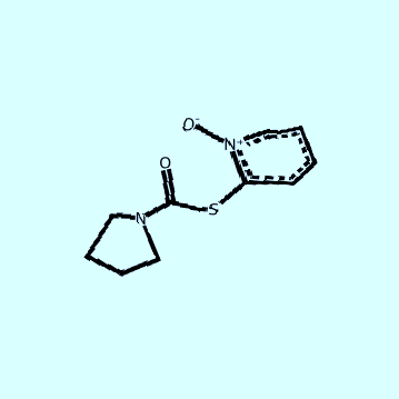 O=C(Sc1cccc[n+]1[O-])N1CCCC1